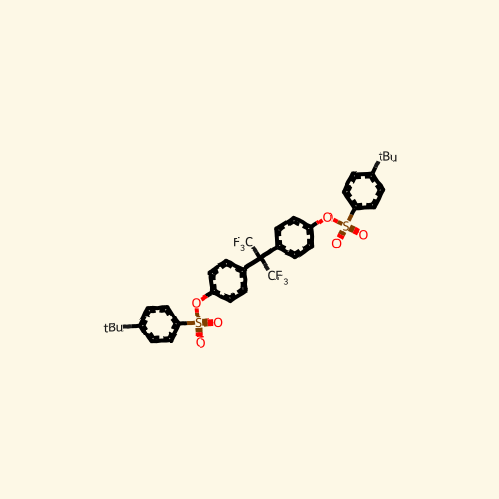 CC(C)(C)c1ccc(S(=O)(=O)Oc2ccc(C(c3ccc(OS(=O)(=O)c4ccc(C(C)(C)C)cc4)cc3)(C(F)(F)F)C(F)(F)F)cc2)cc1